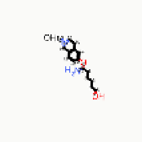 NC(CCCCCO)Oc1ccc2c(c1)CCN(C=O)C2